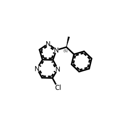 C[C@@H](c1ccccc1)n1ncc2ncc(Cl)nc21